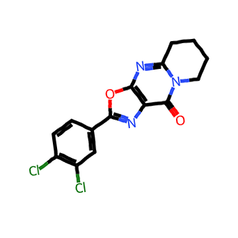 O=c1c2nc(-c3ccc(Cl)c(Cl)c3)oc2nc2n1CCCC2